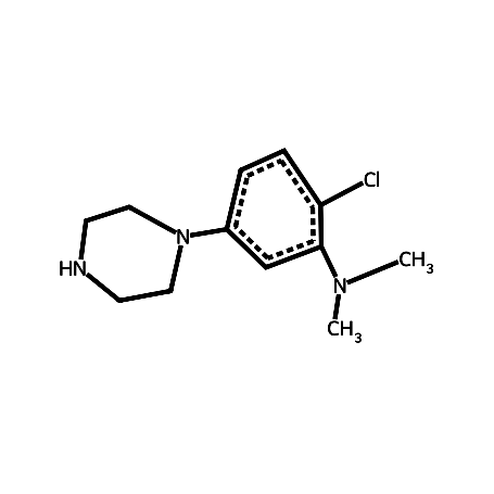 CN(C)c1cc(N2CCNCC2)ccc1Cl